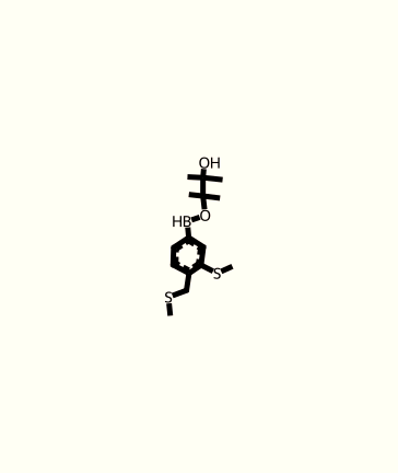 CSCc1ccc(BOC(C)(C)C(C)(C)O)cc1SC